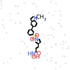 Cn1ccc2cc(-c3cccc(S(=O)(=O)n4ccc(C=CC(=O)NO)c4)c3)ccc21